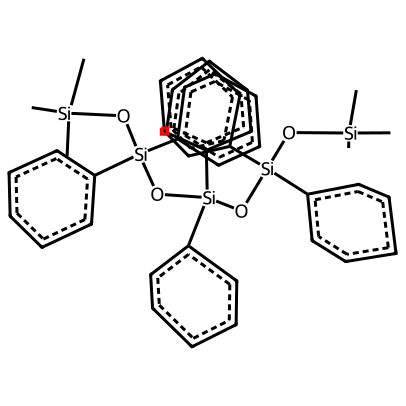 C[Si](C)(C)O[Si](O[Si](O[Si](O[Si](C)(C)C)(c1ccccc1)c1ccccc1)(c1ccccc1)c1ccccc1)(c1ccccc1)c1ccccc1